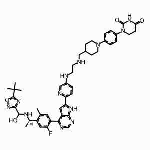 Cc1cc(-c2ncnc3[nH]c(-c4ccc(NCCNCC5CCN(c6ccc(N7CCC(=O)NC7=O)cc6)CC5)cn4)cc23)c(F)cc1[C@@H](C)NC(O)c1noc(C(C)(C)C)n1